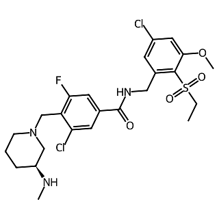 CCS(=O)(=O)c1c(CNC(=O)c2cc(F)c(CN3CCC[C@H](NC)C3)c(Cl)c2)cc(Cl)cc1OC